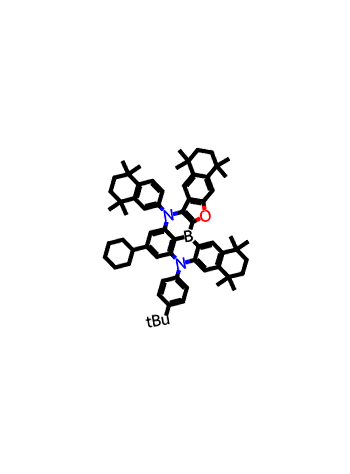 CC(C)(C)c1ccc(N2c3cc4c(cc3B3c5oc6cc7c(cc6c5N(c5ccc6c(c5)C(C)(C)CCC6(C)C)c5cc(C6CCCCC6)cc2c53)C(C)(C)CCC7(C)C)C(C)(C)CCC4(C)C)cc1